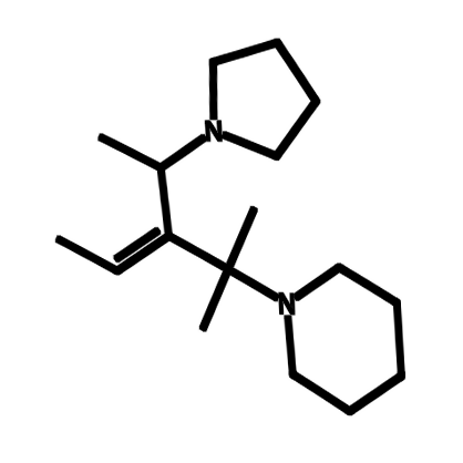 CC=C(C(C)N1CCCC1)C(C)(C)N1CCCCC1